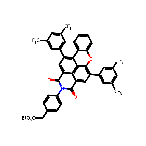 CCOC(=O)Cc1ccc(-n2c(=O)c3cc(-c4cc(C(F)(F)F)cc(C(F)(F)F)c4)c4oc5ccccc5c5c(-c6cc(C(F)(F)F)cc(C(F)(F)F)c6)cc(c2=O)c3c45)cc1